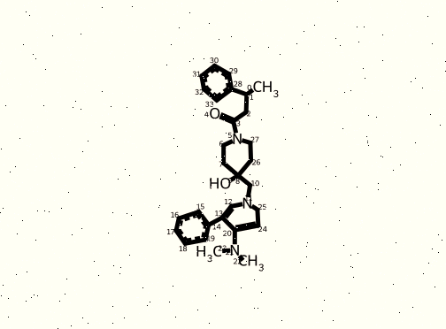 CC(CC(=O)N1CCC(O)(CN2C=C(c3ccccc3)C(N(C)C)=CC2)CC1)c1ccccc1